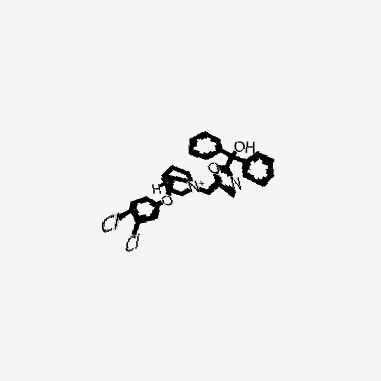 OC(c1ccccc1)(c1ccccc1)c1ncc(C[N+]23CCC(CC2)[C@@H](Oc2ccc(Cl)c(Cl)c2)C3)o1